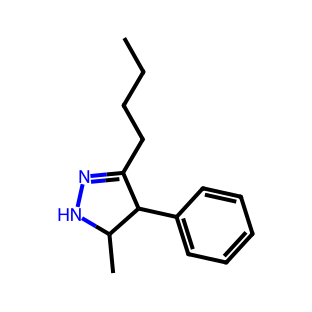 CCCCC1=NNC(C)C1c1ccccc1